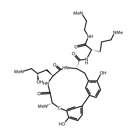 CNCCC[C@H](NC(=O)[C@@H]1Cc2cc(ccc2O)-c2ccc(O)c(c2)C[C@H](NC)C(=O)N[C@@H](C[C@@H](O)CNC)C(=O)N1)C(=O)NCCNC